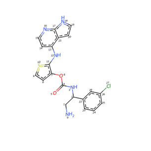 NCC(NC(=O)Oc1ccsc1Nc1ccnc2[nH]ccc12)c1cccc(Cl)c1